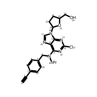 C#Cc1ccc(CN(CCC)c2nc(Cl)nc3c2ncn3C2CCC(CO)O2)cc1